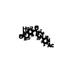 CC(=O)c1ccc(N2CCN(C(=O)c3ccc4c(c3)CCC(=O)N4)CC2)cn1